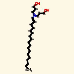 CCCCCCCCCCCCCCCCC=CN(CCCO)CCCO